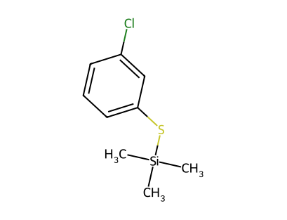 C[Si](C)(C)Sc1cccc(Cl)c1